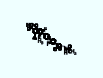 CC(=O)NC[C@H]1CN(c2ccc(N3CCN(c4c(F)cn5c(=O)c(C(=O)O)cc(C6CC6)c5c4C)CC3)c(F)c2)C(=O)O1